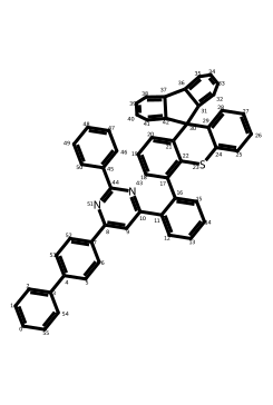 c1ccc(-c2ccc(-c3cc(-c4ccccc4-c4cccc5c4Sc4ccccc4C54c5ccccc5-c5ccccc54)nc(-c4ccccc4)n3)cc2)cc1